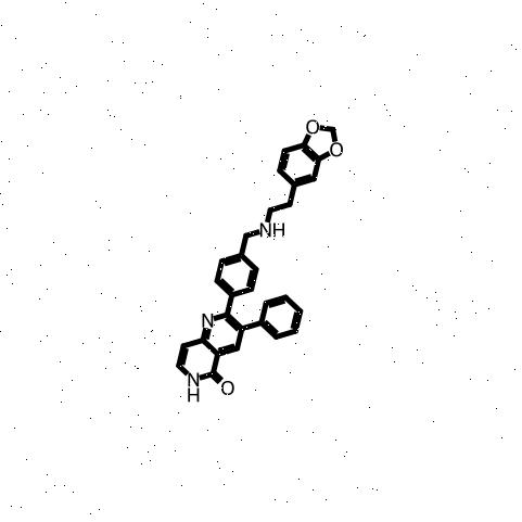 O=c1[nH]ccc2nc(-c3ccc(CNCCc4ccc5c(c4)OCO5)cc3)c(-c3ccccc3)cc12